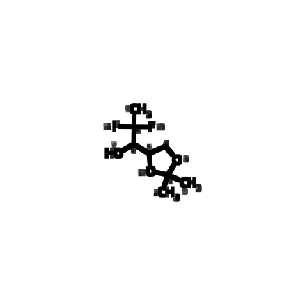 CC1(C)OCC(C(O)C(C)(F)F)O1